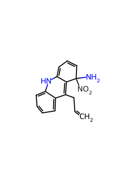 C=CCC1=C2C(=CC=CC2(N)[N+](=O)[O-])Nc2ccccc21